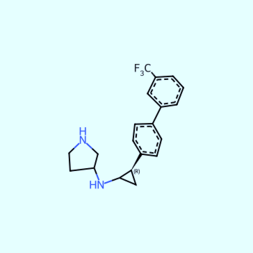 FC(F)(F)c1cccc(-c2ccc([C@H]3CC3NC3CCNC3)cc2)c1